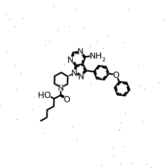 CCCCC(O)C(=O)N1CCC[C@@H](n2nc(-c3ccc(Oc4ccccc4)cc3)c3c(N)ncnc32)C1